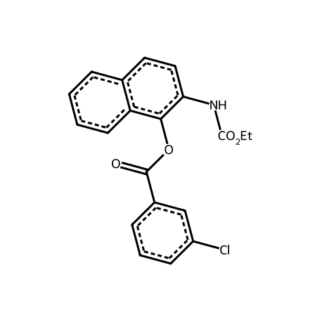 CCOC(=O)Nc1ccc2ccccc2c1OC(=O)c1cccc(Cl)c1